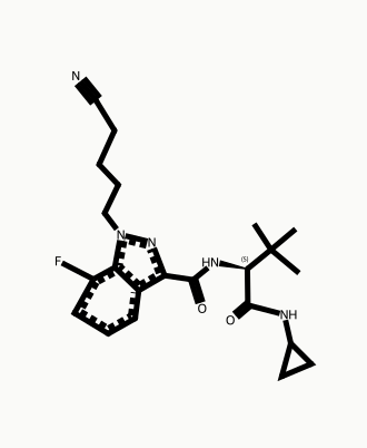 CC(C)(C)[C@H](NC(=O)c1nn(CCCCC#N)c2c(F)cccc12)C(=O)NC1CC1